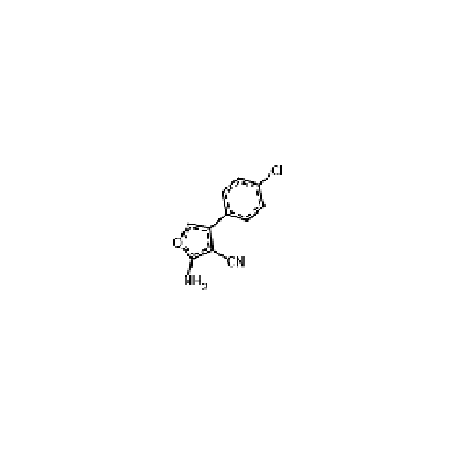 N#Cc1c(-c2ccc(Cl)cc2)coc1N